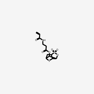 C=CC(=O)NCCC(=O)OC1C2CC3C(S2)C1OS3(=O)=O